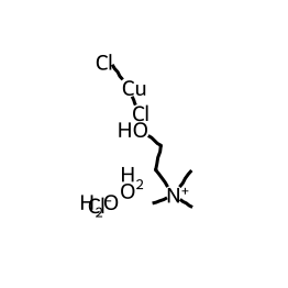 C[N+](C)(C)CCO.O.O.[Cl-].[Cl][Cu][Cl]